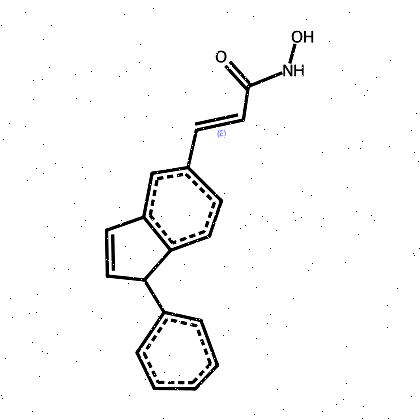 O=C(/C=C/c1ccc2c(c1)C=CC2c1ccccc1)NO